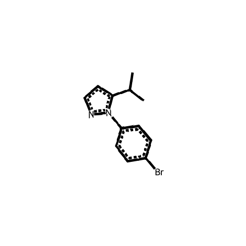 CC(C)c1ccnn1-c1ccc(Br)cc1